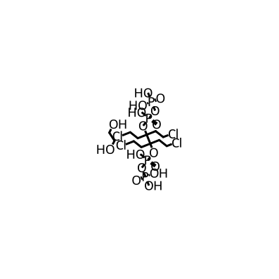 O=P(O)(O)OP(=O)(O)OC(CCCl)(CCCl)C(CCCl)(CCCl)OP(=O)(O)OP(=O)(O)O.OCCO